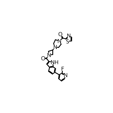 O=C(c1cc2ccc(-c3cccnc3F)cc2[nH]1)N1CC(N2CCN(C(=O)c3nccs3)CC2)C1